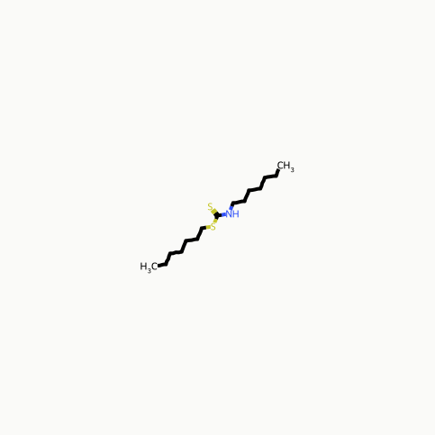 CCCCCCCNC(=S)SCCCCCCC